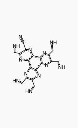 N#Cc1nc2c(nc1C=N)c1nc(C=N)c(C=N)nc1c1nc(C=N)c(C=N)nc21